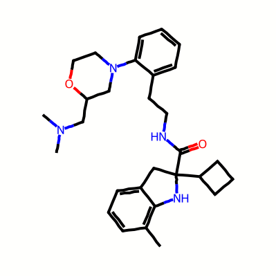 Cc1cccc2c1NC(C(=O)NCCc1ccccc1N1CCOC(CN(C)C)C1)(C1CCC1)C2